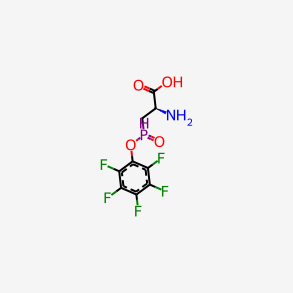 N[C@@H](C[PH](=O)Oc1c(F)c(F)c(F)c(F)c1F)C(=O)O